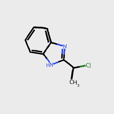 CC(Cl)c1nc2ccccc2[nH]1